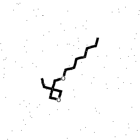 CCCCCCCOCC1(CC)COC1